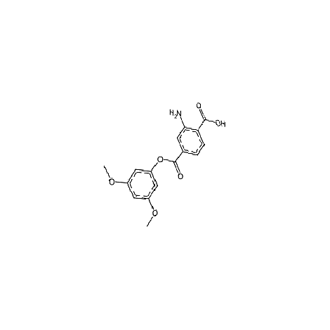 COc1cc(OC)cc(OC(=O)c2ccc(C(=O)O)c(N)c2)c1